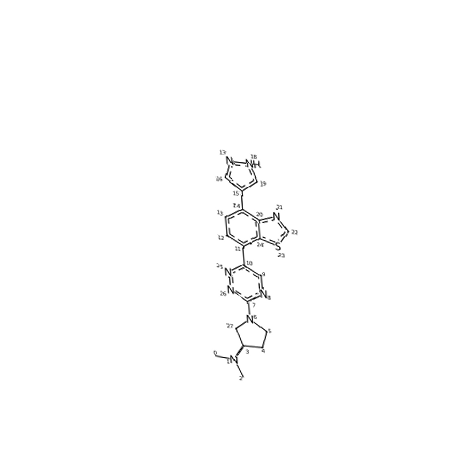 CN(C)C1CCN(c2ncc(-c3ccc(-c4cn[nH]c4)c4ncsc34)nn2)C1